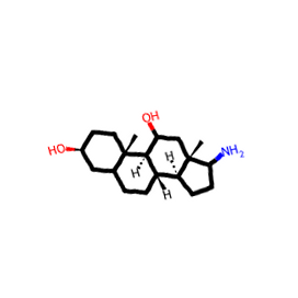 C[C@]12CC[C@H](O)CC1CC[C@@H]1[C@@H]2C(O)C[C@]2(C)C(N)CC[C@@H]12